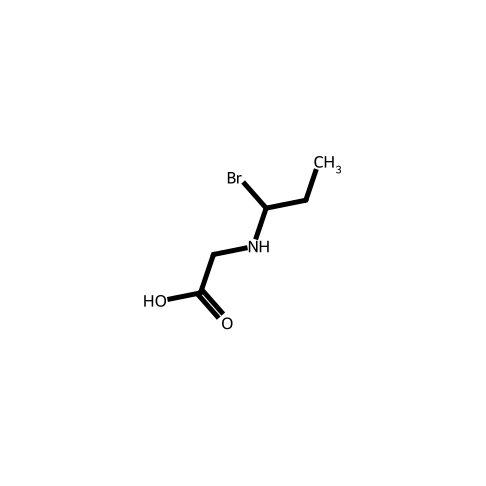 CCC(Br)NCC(=O)O